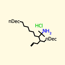 C=CCC(CCCCCCCCCCC)C(CCCCCCCCCCCCCCCC)C(C)(C)N.Cl